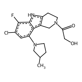 CC1CCN(c2cc(Cl)c(F)c3[nH]c4c(c23)CN(C(=O)CO)CC4)C1